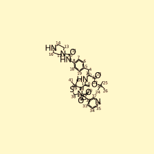 C=C(N[C@@H](Cc1ccc(NC(=O)N2CCNCC2)cc1)C(=O)OC(C)(C)C)[C@H]1N(S(=O)(=O)c2cccnc2)CSC1(C)C